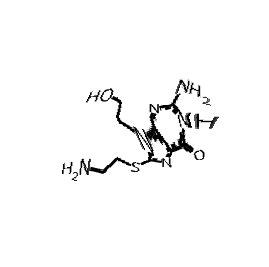 NCCSc1nc2c(=O)[nH]c(N)nc2n1CCO